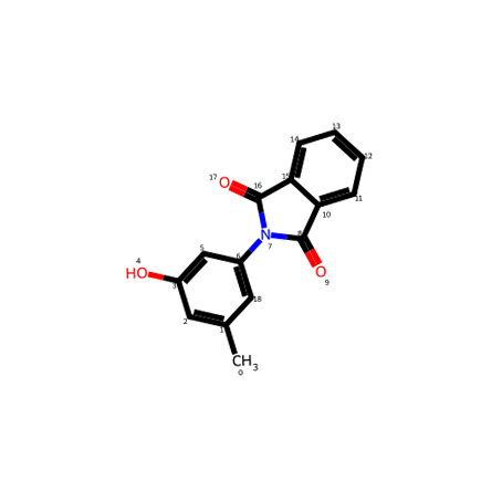 Cc1cc(O)cc(N2C(=O)c3ccccc3C2=O)c1